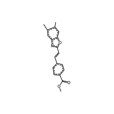 COC(=O)c1ccc(C=Cc2nc3cc(C)c(C)cc3o2)cc1